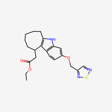 CCOC(=O)CC1CCCCCc2[nH]c3cc(OCc4cnsn4)ccc3c21